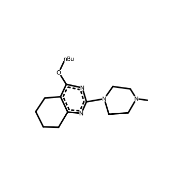 CCCCOc1nc(N2CCN(C)CC2)nc2c1CCCC2